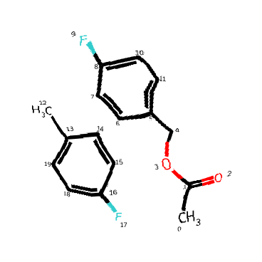 CC(=O)OCc1ccc(F)cc1.Cc1ccc(F)cc1